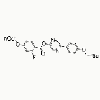 CCCCCCCCOc1ccc(C(=O)Oc2cnc(-c3ccc(OCC(C)CC)cc3)cn2)c(F)c1